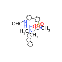 CN(C[C@H](O)CNC(C)(C)CC1Cc2ccccc2C1)S(=O)(=O)c1cccc(-c2cccc(NCC=O)c2)c1